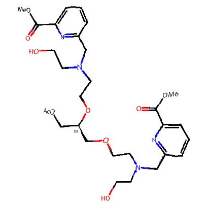 COC(=O)c1cccc(CN(CCO)CCOC[C@@H](COC(C)=O)OCCN(CCO)Cc2cccc(C(=O)OC)n2)n1